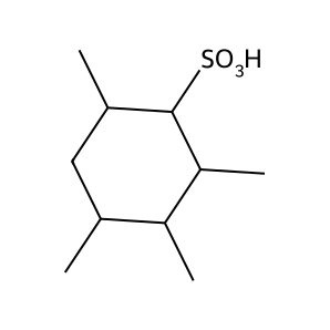 CC1CC(C)C(S(=O)(=O)O)C(C)C1C